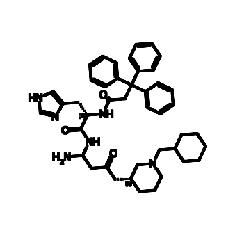 NC(CC(=O)C[C@H]1CCCN(CC2CCCCC2)C1)NC(=O)[C@H](Cc1c[nH]cn1)NC(=O)CC(c1ccccc1)(c1ccccc1)c1ccccc1